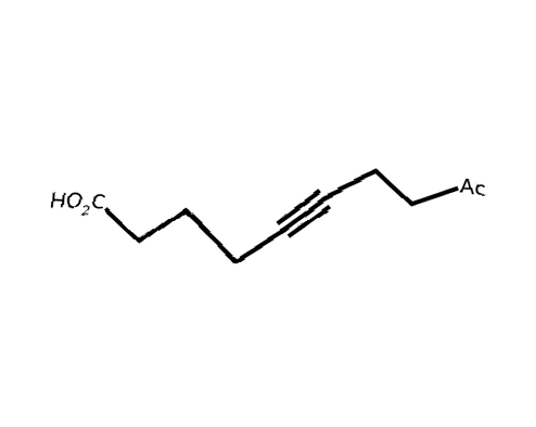 CC(=O)CCC#CCCCC(=O)O